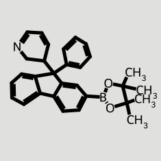 CC1(C)OB(c2ccc3c(c2)C(c2ccccc2)(C2C=CC=NC2)c2ccccc2-3)OC1(C)C